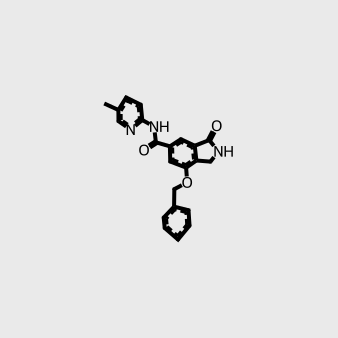 Cc1ccc(NC(=O)c2cc(OCc3ccccc3)c3c(c2)C(=O)NC3)nc1